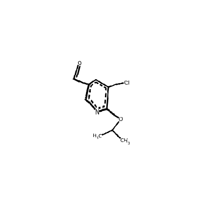 CC(C)Oc1ncc(C=O)cc1Cl